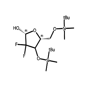 CC(C)(C)[Si](C)(C)OC[C@H]1O[C@@H](O)C(F)(F)C1O[Si](C)(C)C(C)(C)C